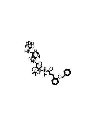 CC(C)(C)OC(=O)Nc1ncnc2c1ncn2[C@@H]1O[C@H](CNC(=O)/C=C/c2ccccc2OCc2ccccc2)[C@@H]2OC(C)(C)OC21